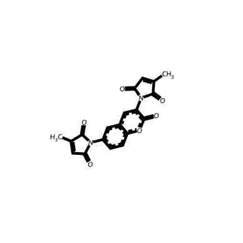 CC1=CC(=O)N(c2ccc3oc(=O)c(N4C(=O)C=C(C)C4=O)cc3c2)C1=O